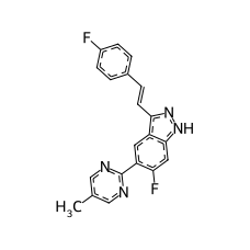 Cc1cnc(-c2cc3c(C=Cc4ccc(F)cc4)n[nH]c3cc2F)nc1